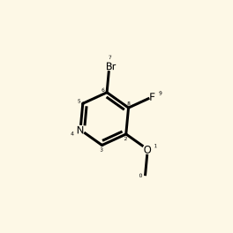 COc1cncc(Br)c1F